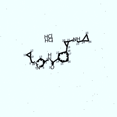 Cl.Cl.O=C(Nc1cnn(CC2CC2)c1)c1cccc(C2CC2NCC2CC2)c1